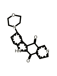 O=C1c2ccncc2C(=O)c2c1[nH]c1ccc(N3CCOCC3)cc21